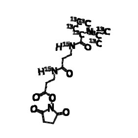 [13CH3][13CH]([13CH3])N1[13CH2][13CH2][13CH2][13CH]1C(=O)[15NH]CCC(=O)[15NH]CCC(=O)ON1C(=O)CCC1=O